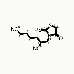 N#CCCCCC(C#N)CN1C(=O)CSC1=S